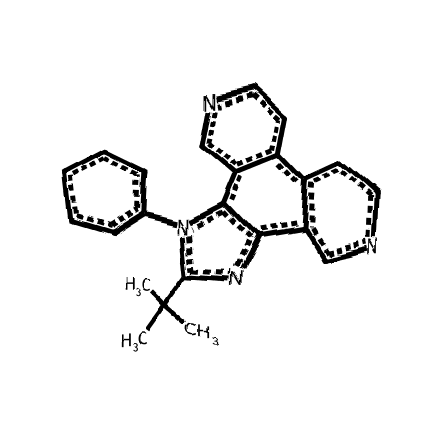 CC(C)(C)c1nc2c3cnccc3c3ccncc3c2n1-c1ccccc1